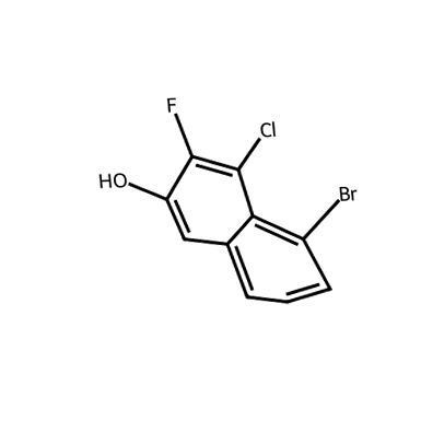 Oc1cc2cccc(Br)c2c(Cl)c1F